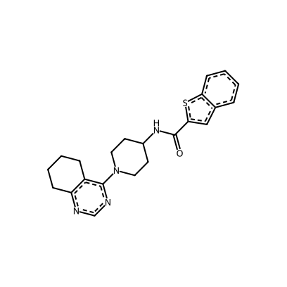 O=C(NC1CCN(c2ncnc3c2CCCC3)CC1)c1cc2ccccc2s1